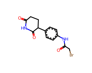 O=C1CCC(c2ccc(NC(=O)CBr)cc2)C(=O)N1